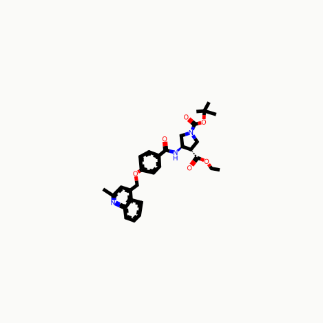 CCOC(=O)[C@H]1CN(C(=O)OC(C)(C)C)C[C@@H]1NC(=O)c1ccc(OCc2cc(C)nc3ccccc23)cc1